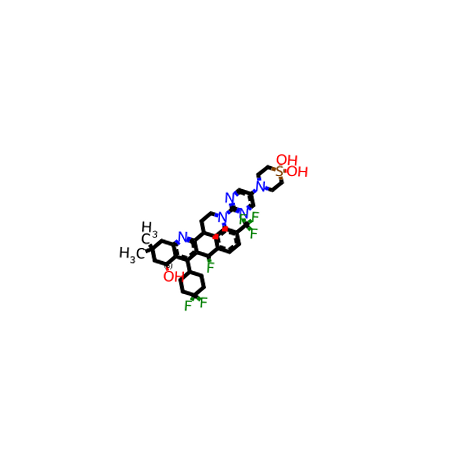 CC1(C)Cc2nc(C3CCN(c4ncc(N5CCS(O)(O)CC5)cn4)CC3)c(C(F)c3ccc(C(F)(F)F)cc3)c(C3CCC(F)(F)CC3)c2[C@@H](O)C1